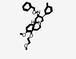 COCCOc1c(OC)ccc2c1CCN1C[C@H](c3cccc(C)c3)C(=NOCc3ccccc3)C[C@@H]21